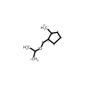 CC(C)OCC1CCCC1C